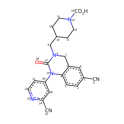 N#Cc1ccc2c(c1)CN(CC1CCN(C(=O)O)CC1)C(=O)N2c1ccnc(C#N)c1